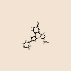 CN[C@H]1CCN(c2cc(Cl)ncc2-c2cnn(C3CCOCC3)c2)C1